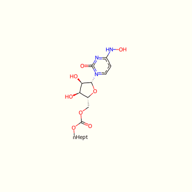 CCCCCCCOC(=O)OC[C@H]1O[C@@H](n2ccc(NO)nc2=O)[C@H](O)[C@@H]1O